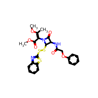 COC(=O)/C(=C(/C)OC)N1C(=O)C(NC(=O)COc2ccccc2)C1SSc1nc2ccccc2s1